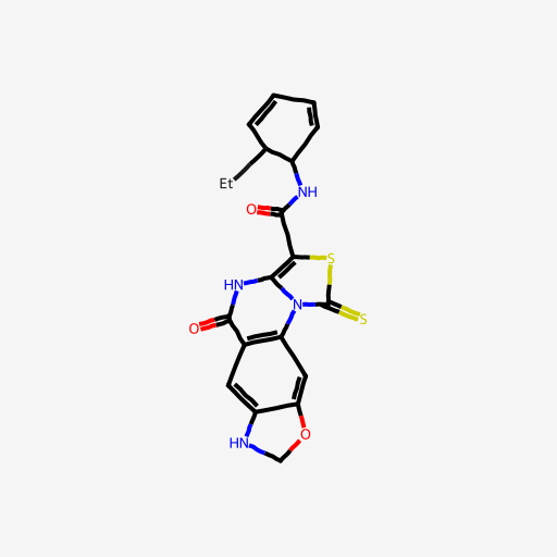 CCC1C=CC=CC1NC(=O)c1sc(=S)n2c1[nH]c(=O)c1cc3c(cc12)OCN3